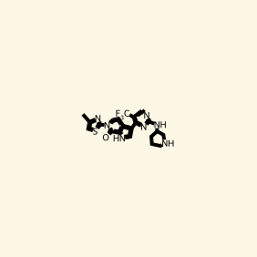 Cc1csc(-n2ccc3c(-c4nc(NC5CCCNC5)ncc4C(F)(F)F)c[nH]c3c2=O)n1